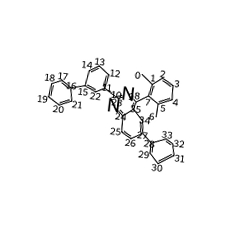 Cc1cccc(C)c1-c1nc(-c2cccc(-c3ccccc3)c2)nc2ccc(-c3ccccc3)cc12